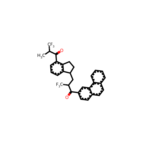 CC(C(=O)c1cccc2c1CCC2CC(C(=O)c1ccc2ccc3ccccc3c2c1)C(F)(F)F)C(F)(F)F